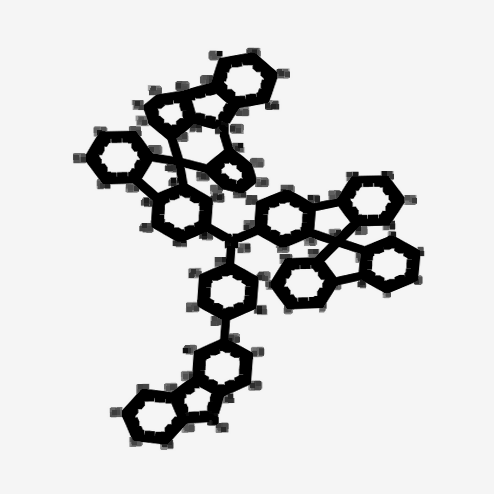 c1ccc2c(c1)-c1ccccc1C21c2ccccc2-c2ccc(N(c3ccc(-c4ccc5sc6ccccc6c5c4)cc3)c3ccc4c(c3)C3(c5ccccc5-4)c4ccccc4-n4c5ccccc5c5cccc3c54)cc21